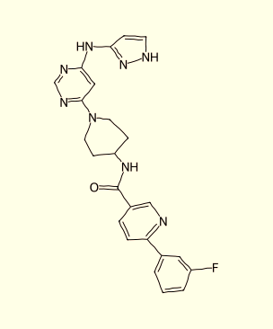 O=C(NC1CCN(c2cc(Nc3cc[nH]n3)ncn2)CC1)c1ccc(-c2cccc(F)c2)nc1